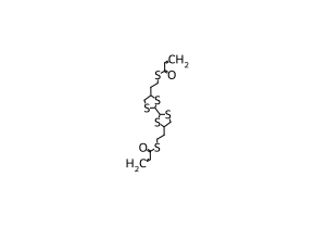 C=CC(=O)SCCC1CSC(C2SCC(CCSC(=O)C=C)S2)S1